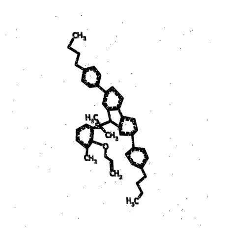 C=CCOc1c(C)cccc1[Si](C)(C)C1c2cc(-c3ccc(CCCC)cc3)ccc2-c2ccc(-c3ccc(CCCC)cc3)cc21